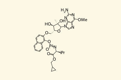 COc1nc(N)nc2c1ncn2C1O[C@H](COc2ccc3ccccc3c2O/[P+]([O-])=N/[C@H](C(=O)OCC2CC2)C(C)C)[C@@H](O)[C@@]1(C)O